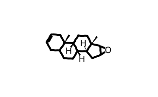 C[C@]12CC=CCC1CC[C@@H]1[C@H]2CC[C@]2(C)C3OC3C[C@@H]12